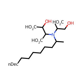 CCCCCCCCCCCCCCCCC(C)N(C(CO)C(=O)O)C(C(=O)O)C(O)C(=O)O